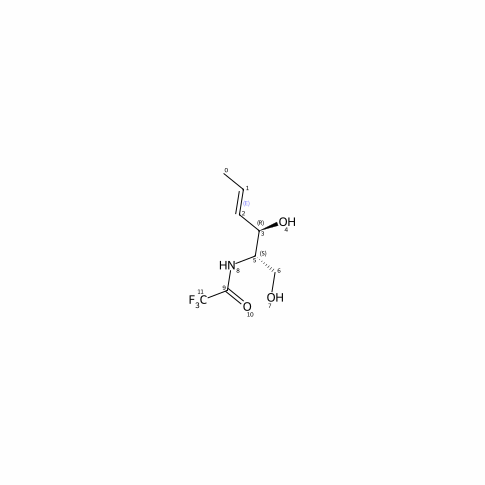 C/C=C/[C@@H](O)[C@H](CO)NC(=O)C(F)(F)F